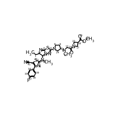 CCC1N=C2SC(N3CC[C@H](N(C)CC(=O)N4CC(C(=O)OC)C4)C3)=NN2C1N(C)c1nc(-c2ccc(F)cc2)c(C#N)s1